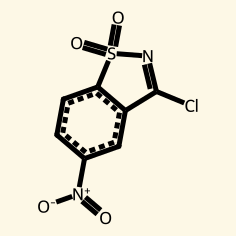 O=[N+]([O-])c1ccc2c(c1)C(Cl)=NS2(=O)=O